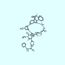 CCn1c(-c2cccnc2[C@H](C)OC)c2c3cc(ccc31)-c1cc(O)cc(c1)C[C@H](NC(=O)C(C(C)C)N(C)C(=O)[C@H]1CCN(C(=O)C3OC3c3ccccc3)C1)C(=O)N1CCC[C@H](N1)C(=O)OCC(C)(C)C2